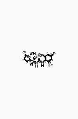 CC(C)c1cc(F)cc(C(C)C)c1NC(=O)NS(=O)(=O)C1CCC(=O)N1C